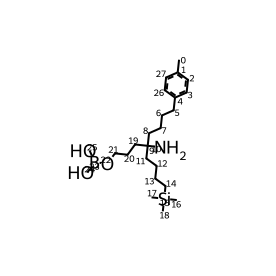 Cc1ccc(CCCCC(N)(CCCC[Si](C)(C)C)CCCOB(O)O)cc1